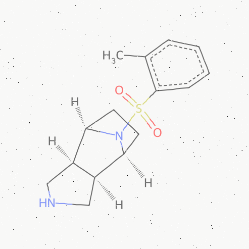 Cc1ccccc1S(=O)(=O)N1[C@@H]2CC[C@H]1[C@H]1CNC[C@H]12